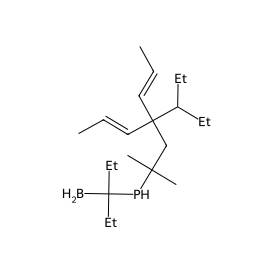 BC(CC)(CC)PC(C)(C)CC(C=CC)(C=CC)C(CC)CC